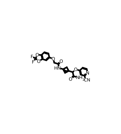 N#Cc1cc(OC(C(N)=O)C23CC(NC(=O)COc4ccc5c(c4)OC(F)(F)O5)(C2)C3)ccn1